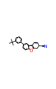 CC(C)(C)c1cccc(-c2ccc3oc4c(c3c2)C=CC(C#N)C4)c1